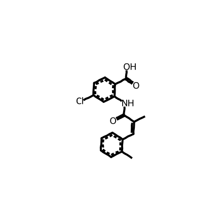 CC(=Cc1ccccc1C)C(=O)Nc1cc(Cl)ccc1C(=O)O